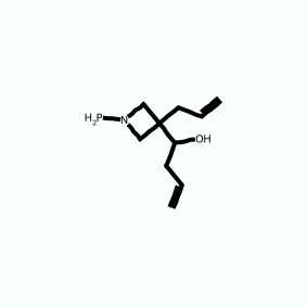 C=CCC(O)C1(CC=C)CN(P)C1